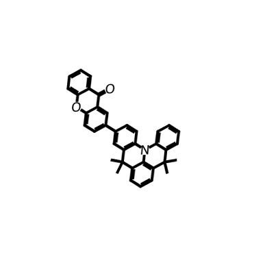 CC1(C)c2ccccc2N2c3ccc(-c4ccc5oc6ccccc6c(=O)c5c4)cc3C(C)(C)c3cccc1c32